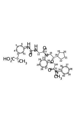 CC(C(=O)O)c1cccc(NC(=O)NCC(=O)N(CCC2CCCC2)c2ccccc2OCC(=O)N(C)c2ccccc2)c1